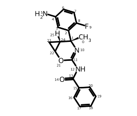 C[C@@]1(c2cc(N)ccc2F)N=C(NC(=O)c2ccccc2)OC2C[C@@H]21